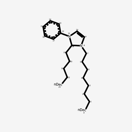 CCCCCCCCCCCCCCCCCN1C=CN(c2ccccc2)C1CCCCCCCCCCCCCC